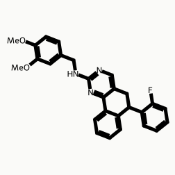 COc1ccc(CNc2ncc3c(n2)-c2ccccc2C(c2ccccc2F)C3)cc1OC